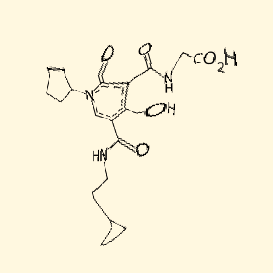 O=C(O)CNC(=O)c1c(O)c(C(=O)NCCC2CC2)cn(C2CCCC2)c1=O